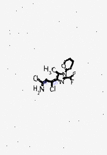 CC1/C(=C(Cl)\C=C(/N)Cl)N=C(C(F)F)N1C1CCCCO1